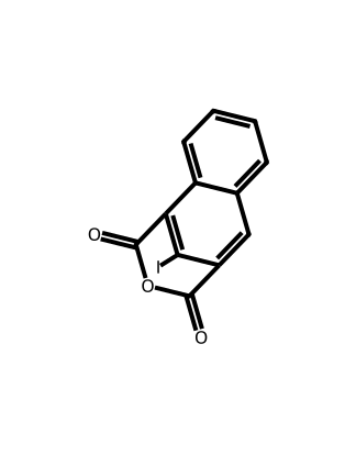 O=C1OC(=O)c2c(I)c1cc1ccccc21